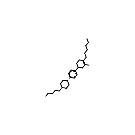 CCCCCCC1=C(C)CC(c2ccc([C@H]3CC[C@H](CCCCC)CC3)cc2)CC1